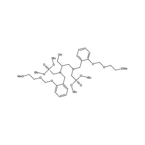 COCCOCOc1ccccc1CN(CC(CO)N(Cc1ccccc1OCOCCOC)CP(=O)(OC(C)(C)C)OC(C)(C)C)CP(=O)(OC(C)(C)C)OC(C)(C)C